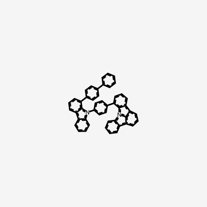 c1ccc(-c2ccc(-c3cccc4c5ccccc5n(-c5ccc(-c6cccc7c8cccc9c%10ccccc%10n(c67)c98)cc5)c34)cc2)cc1